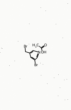 BrCc1cncc(Br)c1.CC(=O)O